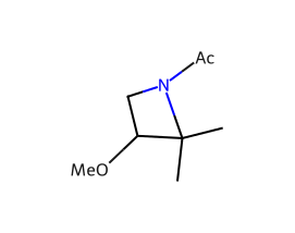 COC1CN(C(C)=O)C1(C)C